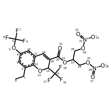 CCc1cc(OC(F)(F)F)cc2c1OC(C(F)(F)F)C(C(=O)OC(CO[N+](=O)[O-])CO[N+](=O)[O-])=C2